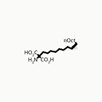 CCCCCCCC/C=C\CCCCCCCC(N)(C(=O)O)C(=O)O